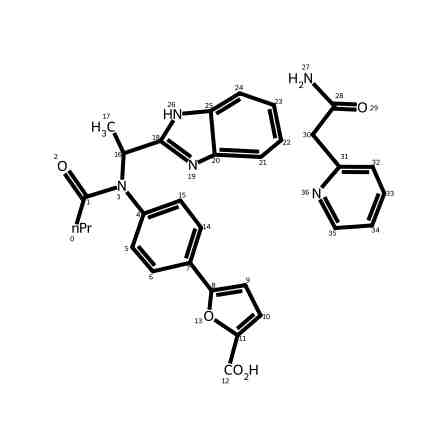 CCCC(=O)N(c1ccc(-c2ccc(C(=O)O)o2)cc1)C(C)c1nc2ccccc2[nH]1.NC(=O)Cc1ccccn1